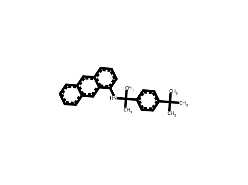 CC(C)(C)c1ccc(C(C)(C)Nc2cccc3cc4ccccc4cc23)cc1